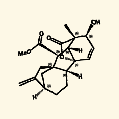 C=C1C[C@]23C[C@H]1CC[C@H]2[C@@]12C=C[C@H](O)[C@@](C)(C(=O)O1)[C@H]2[C@@H]3C(=O)OC